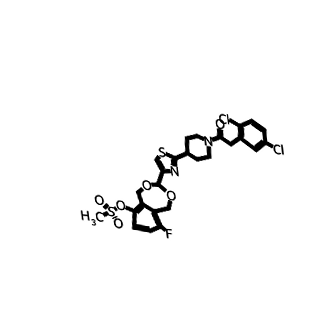 CS(=O)(=O)Oc1ccc(F)c2c1COC(c1csc(C3CCN(C(=O)Cc4cc(Cl)ccc4Cl)CC3)n1)OC2